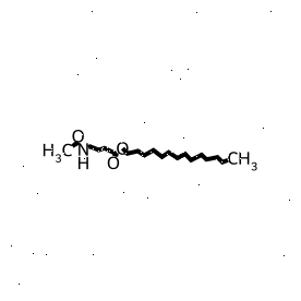 CCCCCCCCCCCCCCOC(=O)CCCNC(C)=O